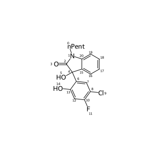 CCCCCN1C(=O)C(O)(c2cc(Cl)c(F)cc2O)c2ccccc21